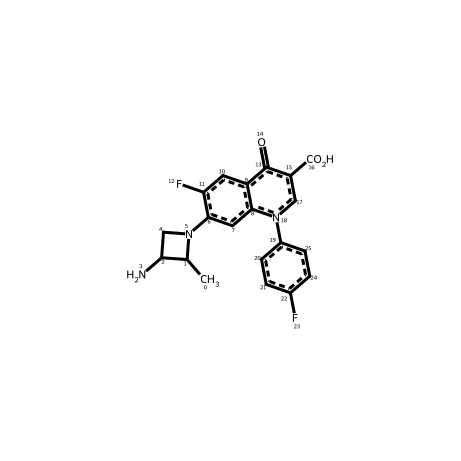 CC1C(N)CN1c1cc2c(cc1F)c(=O)c(C(=O)O)cn2-c1ccc(F)cc1